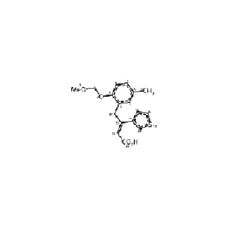 COCOc1ccc(C)cc1CC(=CC(=O)O)c1ccsc1